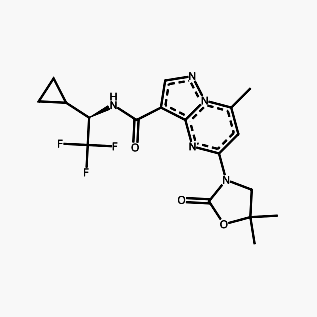 Cc1cc(N2CC(C)(C)OC2=O)nc2c(C(=O)N[C@H](C3CC3)C(F)(F)F)cnn12